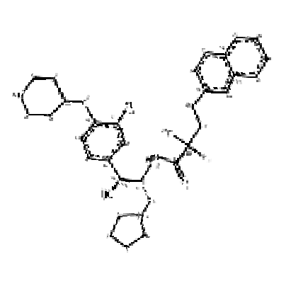 O=C(N[C@H](CN1CCCC1)[C@@H](O)c1ccc(OC2CCOCC2)c(Cl)c1)C(F)(F)CCc1ccc2ccccc2c1